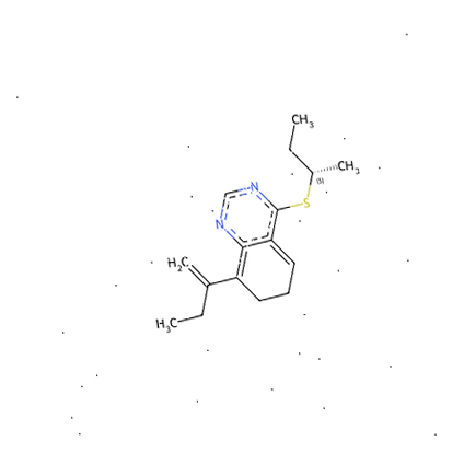 C=C(CC)C1=c2ncnc(S[C@@H](C)CC)c2=CCC1